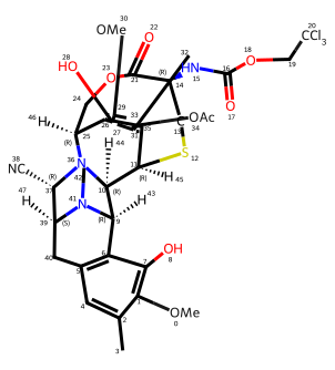 COc1c(C)cc2c(c1O)[C@@H]1[C@@H]3[C@@H]4SC[C@H](NC(=O)OCC(Cl)(Cl)Cl)C(=O)OC[C@@H](c5c(O)c(OC)c(C)c(OC(C)=O)c54)N3[C@@H](C#N)[C@H](C2)N1C